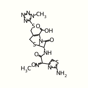 CO/N=C(\C(=O)N[C@@H]1C(=O)N2C(C(=O)O)=C(CSc3nnnn3C)CSC12)c1csc(N)n1